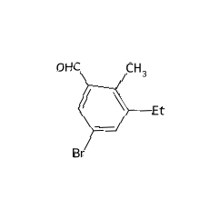 CCc1cc(Br)cc(C=O)c1C